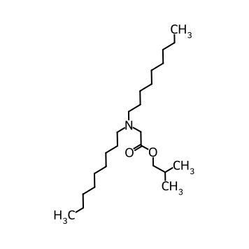 CCCCCCCCCN(CCCCCCCCC)CC(=O)OCC(C)C